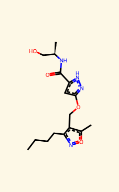 CCCCc1noc(C)c1COc1cc(C(=O)N[C@H](C)CO)[nH]n1